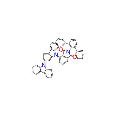 O=C1c2cccc(-n3c4ccccc4c4ccc(-n5c6ccccc6c6ccccc65)cc43)c2C(=O)N1c1c(-c2ccccc2)cccc1-c1ccccc1